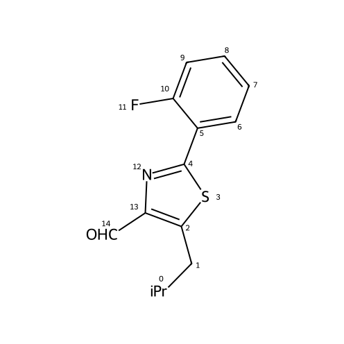 CC(C)Cc1sc(-c2ccccc2F)nc1C=O